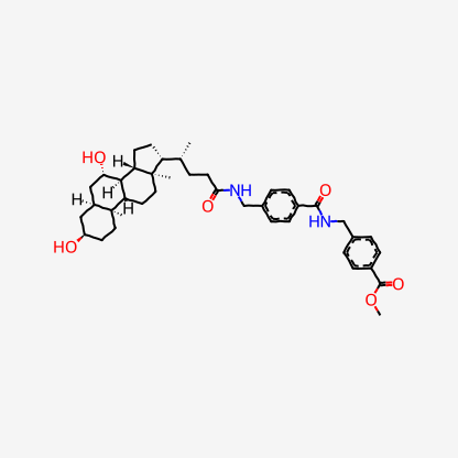 COC(=O)c1ccc(CNC(=O)c2ccc(CNC(=O)CC[C@@H](C)[C@H]3CC[C@H]4[C@@H]5[C@@H](O)C[C@@H]6C[C@H](O)CC[C@]6(C)[C@H]5CC[C@]34C)cc2)cc1